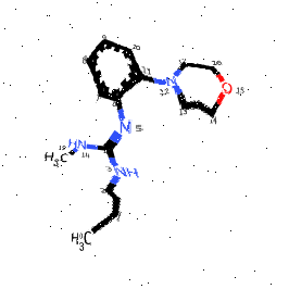 CCCN/C(=N/c1ccccc1N1CCOCC1)NC